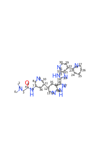 CN(C)CC(=O)Nc1cncc(-c2cnc3[nH]nc(-c4nc5c(-c6ccccn6)ccnc5[nH]4)c3c2)c1